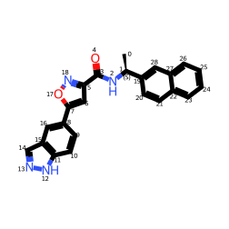 C[C@H](NC(=O)c1cc(-c2ccc3[nH]ncc3c2)on1)c1ccc2ccccc2c1